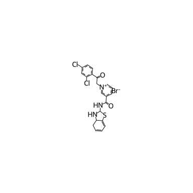 O=C(NC1NC2CC=CC=C2S1)c1ccc[n+](CC(=O)c2ccc(Cl)cc2Cl)c1.[Br-]